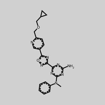 CN(c1ccccc1)c1nc(N)nc(-c2noc(-c3ccc(COCC4CC4)nc3)n2)n1